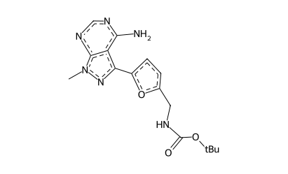 Cn1nc(-c2ccc(CNC(=O)OC(C)(C)C)o2)c2c(N)ncnc21